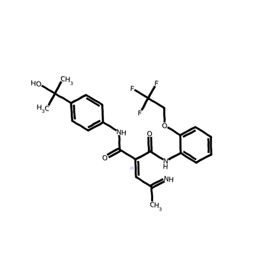 CC(=N)/C=C(/C(=O)Nc1ccc(C(C)(C)O)cc1)C(=O)Nc1ccccc1OCC(F)(F)F